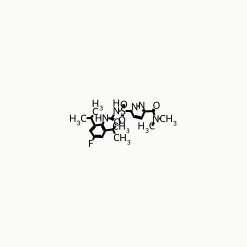 CC(C)c1cc(F)cc(C(C)C)c1NC(=O)NS(=O)(=O)c1ccc(C(=O)N(C)C)nn1